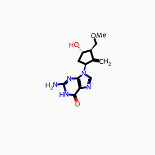 C=C1[C@H](COC)[C@@H](O)C[C@@H]1n1cnc2c(=O)[nH]c(N)nc21